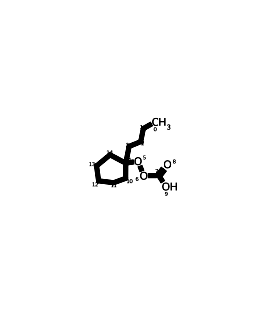 CCCCC1(OOC(=O)O)CCCCC1